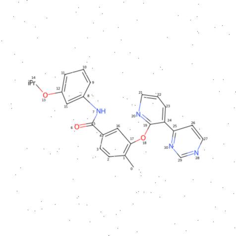 Cc1ccc(C(=O)Nc2cccc(OC(C)C)c2)cc1Oc1ncccc1-c1ccncn1